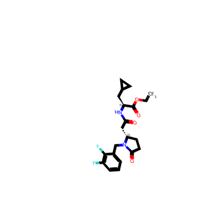 O=C(C[C@@H]1CCC(=O)N1Cc1cccc(F)c1F)N[C@@H](CC1CC1)C(=O)OCC(F)(F)F